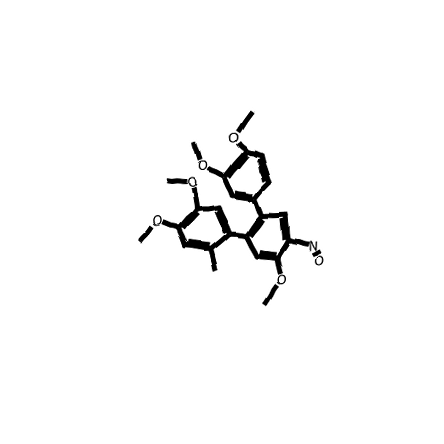 COc1cc(-c2cc(OC)c(OC)cc2C)c(-c2ccc(OC)c(OC)c2)cc1N=O